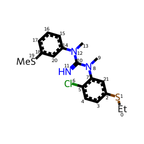 CCSc1ccc(Cl)c(N(C)C(=N)N(C)c2cccc(SC)c2)c1